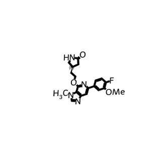 COc1cc(-c2cc3ncn(C)c3c(OCC[C@H]3CNC(=O)C3)n2)ccc1F